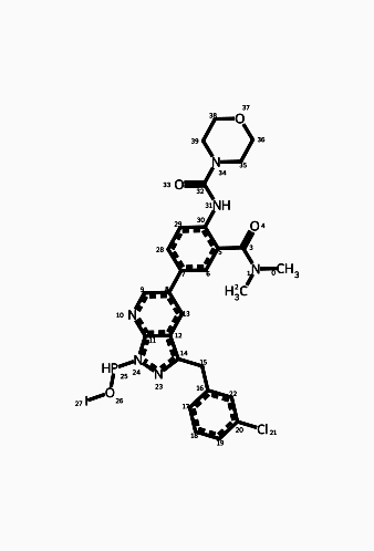 CN(C)C(=O)c1cc(-c2cnc3c(c2)c(Cc2cccc(Cl)c2)nn3POI)ccc1NC(=O)N1CCOCC1